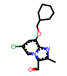 Cc1nc2c(OCC3CCCCC3)cc(Cl)cn2c1C=O